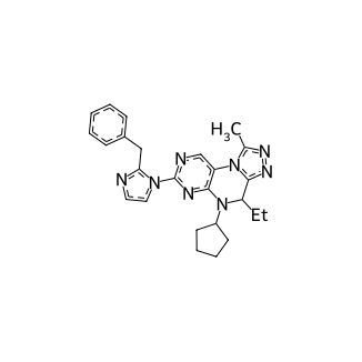 CCC1c2nnc(C)n2-c2cnc(-n3ccnc3Cc3ccccc3)nc2N1C1CCCC1